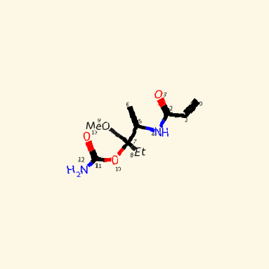 C=CC(=O)NC(=C)C(CC)(OC)OC(N)=O